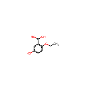 CCOc1ccc(O)cc1B(O)O